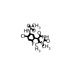 Cc1c(-c2cc(NS(C)(=O)=O)c(Cl)cc2F)c(=O)[nH]c(=O)n1C